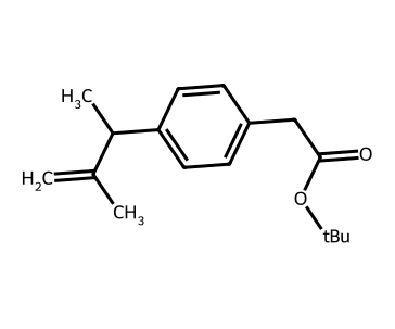 C=C(C)C(C)c1ccc(CC(=O)OC(C)(C)C)cc1